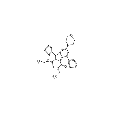 CCOC(=O)C1=C2C(c3ccccc3)=CC(N3CCOCC3)=NN2C(c2ccccn2)C1C(=O)OCC